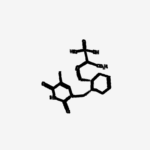 Cc1cn(C[C@H]2CC=CC[C@H]2COC(C(=O)O)P(=O)(O)O)c(=O)[nH]c1=O